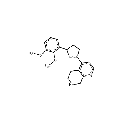 COc1cccc(C2CCN(c3ncnc4c3CCNC4)C2)c1OC